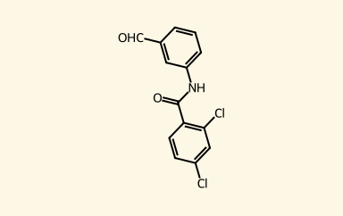 O=Cc1cccc(NC(=O)c2ccc(Cl)cc2Cl)c1